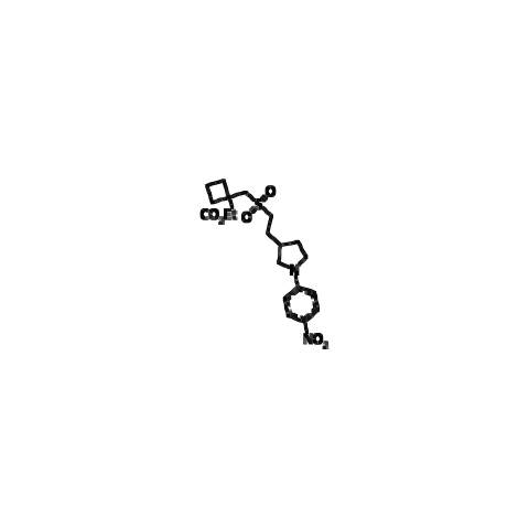 CCOC(=O)C1(CS(=O)(=O)CCC2CCN(c3ccc([N+](=O)[O-])cc3)C2)CCC1